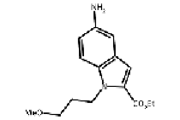 CCOC(=O)c1cc2cc(N)ccc2n1CCCOC